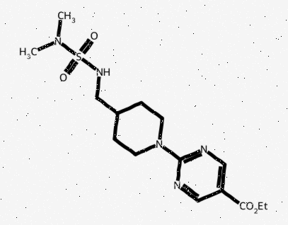 CCOC(=O)c1cnc(N2CCC(CNS(=O)(=O)N(C)C)CC2)nc1